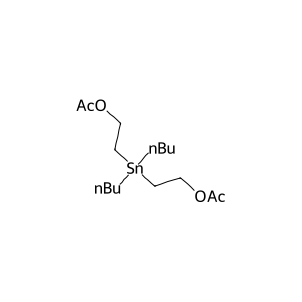 CCC[CH2][Sn]([CH2]CCC)([CH2]COC(C)=O)[CH2]COC(C)=O